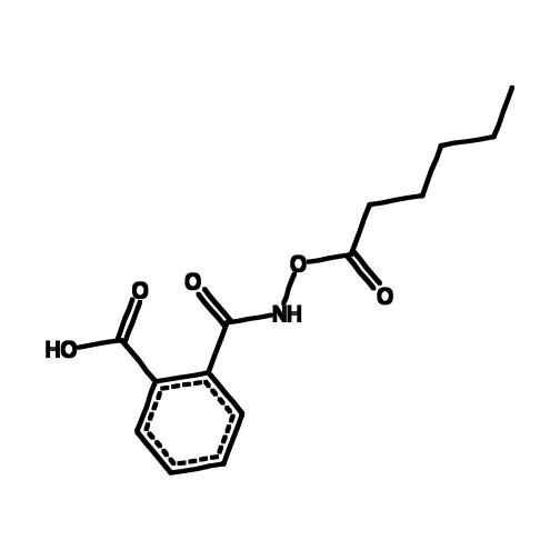 CCCCCC(=O)ONC(=O)c1ccccc1C(=O)O